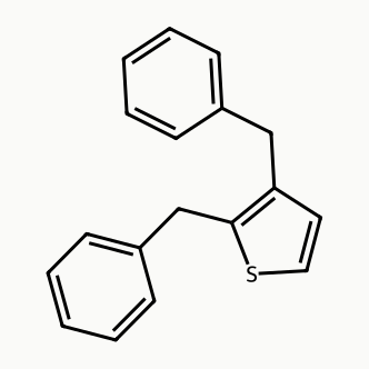 c1ccc(Cc2ccsc2Cc2ccccc2)cc1